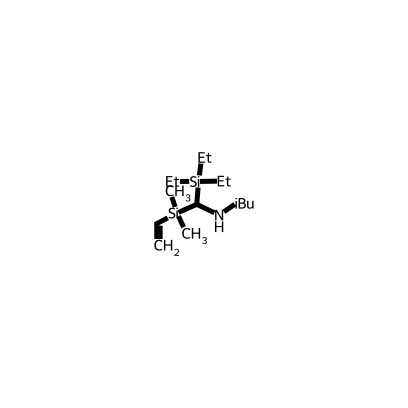 C=C[Si](C)(C)C(NC(C)CC)[Si](CC)(CC)CC